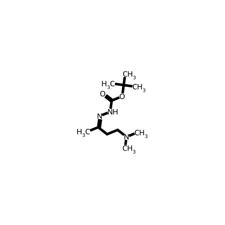 CC(CCN(C)C)=NNC(=O)OC(C)(C)C